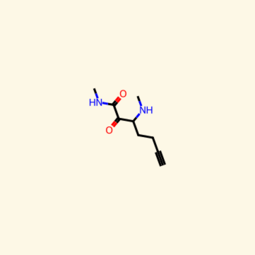 C#CCCC(NC)C(=O)C(=O)NC